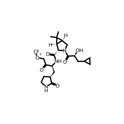 CC1(C)[C@@H]2[C@@H](C(=O)N[C@@H](C[C@@H]3CCNC3=O)C(=O)COC(F)(F)F)N(C(=O)[C@@H](O)CC3CC3)C[C@@H]21